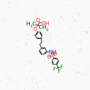 CC(C)(Oc1ccc(CCc2cccc(NS(=O)(=O)c3ccc(C(F)(F)F)cc3)c2)cc1)C(=O)O